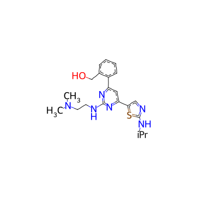 CC(C)Nc1ncc(-c2cc(-c3ccccc3CO)nc(NCCN(C)C)n2)s1